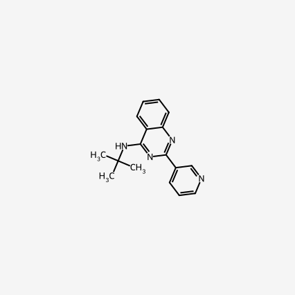 CC(C)(C)Nc1nc(-c2cccnc2)nc2ccccc12